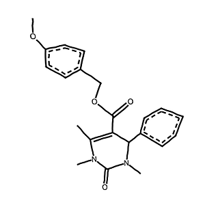 COc1ccc(COC(=O)C2=C(C)N(C)C(=O)N(C)C2c2ccccc2)cc1